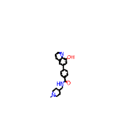 CN1CCC(CNC(=O)c2ccc(-c3cc(O)c4ncccc4c3)cc2)CC1